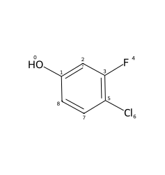 Oc1[c]c(F)c(Cl)cc1